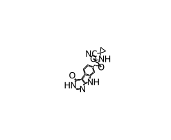 N#CC1(NS(=O)(=O)c2ccc3c(c2)[nH]c2nc[nH]c(=O)c23)CC1